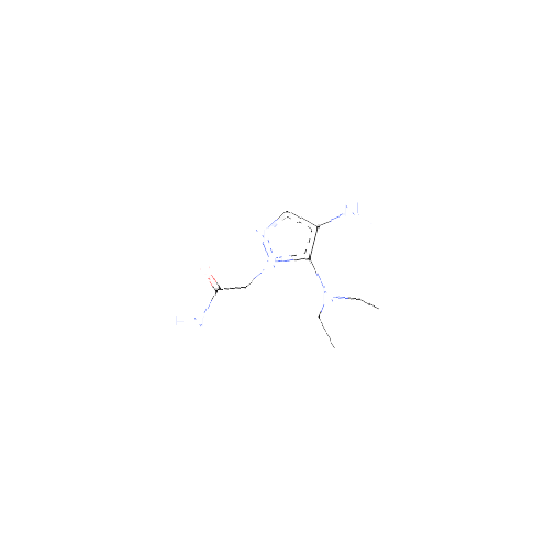 CCN(CC)c1c(N)cnn1CC(N)=O